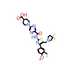 COc1ccc(-c2nc(NC(=O)c3cnc(N4CCC(C(=O)O)CC4)cn3)sc2CN2CCC(F)(F)C2)cc1CF